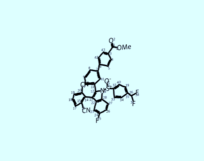 COC(=O)c1ccc(-c2cccc(-c3c(-c4c(C#N)cccc4C#N)c4cc(F)ccc4n3[S+]([O-])c3ccc(C(F)F)cc3)c2)cc1